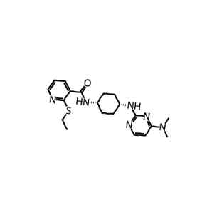 CCSc1ncccc1C(=O)N[C@H]1CC[C@@H](Nc2nccc(N(C)C)n2)CC1